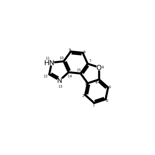 c1ccc2c(c1)oc1ccc3[nH]cnc3c12